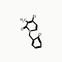 CCc1ccn(Cc2ccccc2Cl)c(=O)c1C